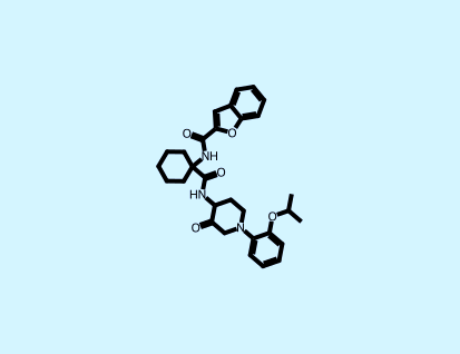 CC(C)Oc1ccccc1N1CCC(NC(=O)C2(NC(=O)c3cc4ccccc4o3)CCCCC2)C(=O)C1